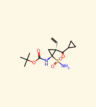 C=C[C@@]1(C(=O)C2CC2)C[C@@]1(NC(=O)OC(C)(C)C)S(N)(=O)=O